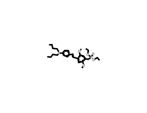 CCCCN(CCCC)c1ccc(/C=C/c2cc(OC)c(CP(=O)(OCC)OCC)cc2OC)cc1